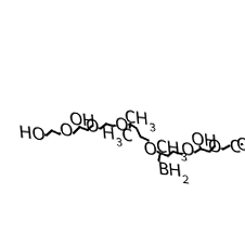 BCC(C)(CCCOCC(O)COCCCO)OCCCC(C)(C)OCCCOCC(O)COCCCO